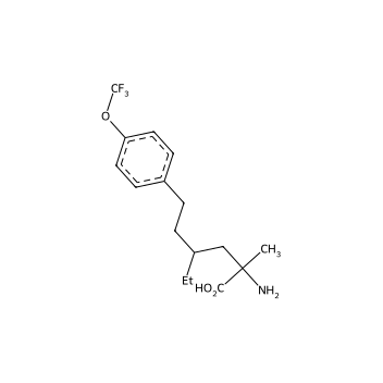 CCC(CCc1ccc(OC(F)(F)F)cc1)CC(C)(N)C(=O)O